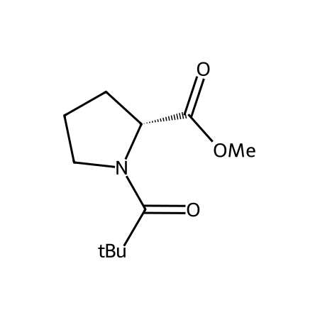 COC(=O)[C@H]1CCCN1C(=O)C(C)(C)C